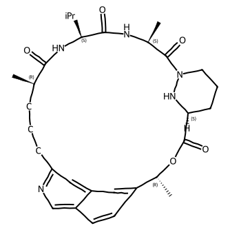 CC(C)[C@@H]1NC(=O)[C@H](C)CCCc2cc3cc(ccc3cn2)[C@@H](C)OC(=O)[C@@H]2CCCN(N2)C(=O)[C@H](C)NC1=O